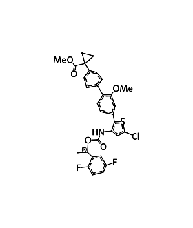 COC(=O)C1(c2ccc(-c3ccc(-c4sc(Cl)cc4NC(=O)O[C@H](C)c4cc(F)ccc4F)cc3OC)cc2)CC1